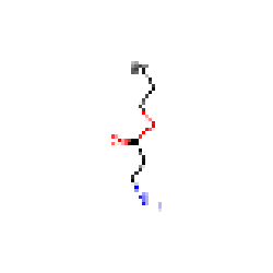 CC(C)CCOC(=O)CCN